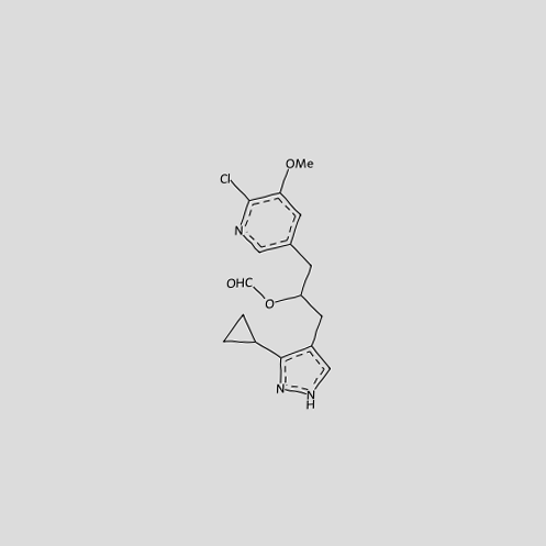 COc1cc(CC(Cc2c[nH]nc2C2CC2)OC=O)cnc1Cl